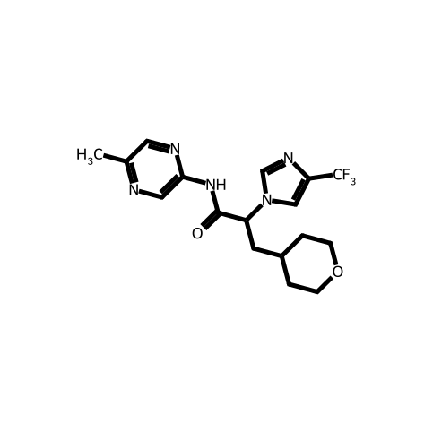 Cc1cnc(NC(=O)C(CC2CCOCC2)n2cnc(C(F)(F)F)c2)cn1